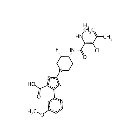 C=C(C)/C(Cl)=C(\NC)C(=O)N[C@@H]1CCN(c2nc(-c3cc(OC)ccn3)c(C(=O)O)s2)C[C@@H]1F